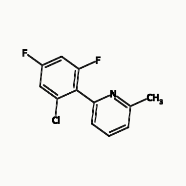 Cc1cccc(-c2c(F)cc(F)cc2Cl)n1